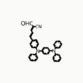 N#C/C(C=O)=C\C=C\c1ccc(N(c2ccccc2)c2ccc(N(c3ccccc3)c3ccccc3)cc2)cc1